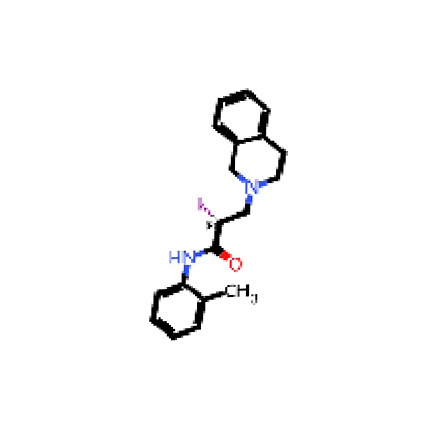 Cc1ccccc1NC(=O)[C@H](I)CN1CCc2ccccc2C1